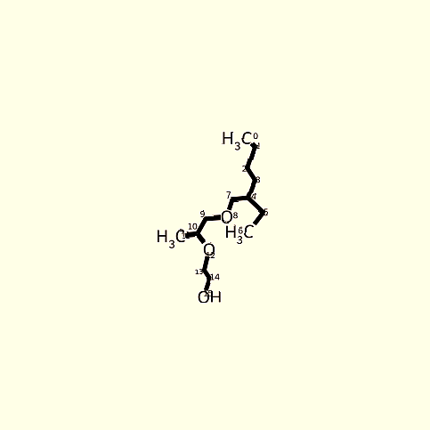 CCCCC(CC)COCC(C)OCCO